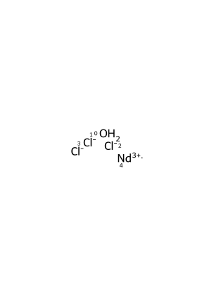 O.[Cl-].[Cl-].[Cl-].[Nd+3]